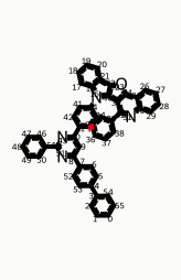 c1ccc(-c2ccc(-c3cc(-c4ccc(-n5c6ccccc6c6oc7c8ccccc8nc(-c8ccccc8)c7c65)cc4)nc(-c4ccccc4)n3)cc2)cc1